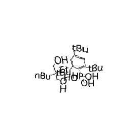 CC(C)(C)c1cc(C(C)(C)C)c([PH](O)(O)O)c(C(C)(C)C)c1.CCCCC(CC)(CO)CO